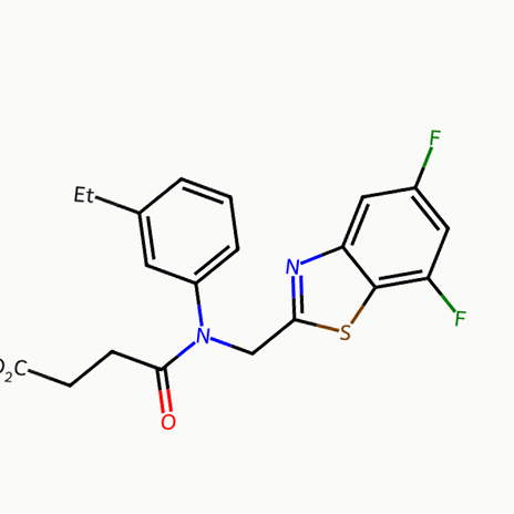 CCOC(=O)CCC(=O)N(Cc1nc2cc(F)cc(F)c2s1)c1cccc(CC)c1